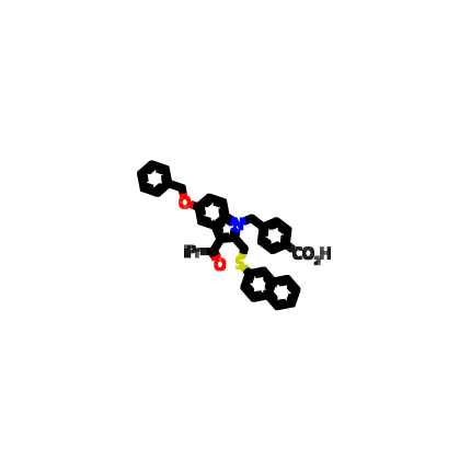 CC(C)C(=O)c1c(CSc2ccc3ccccc3c2)n(Cc2ccc(C(=O)O)cc2)c2ccc(OCc3ccccc3)cc12